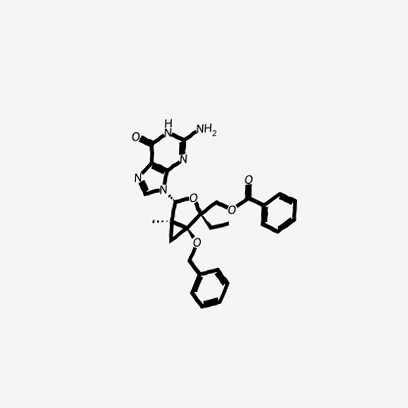 CC[C@]1(COC(=O)c2ccccc2)O[C@@H](n2cnc3c(=O)[nH]c(N)nc32)[C@]2(C)C[C@@]12OCc1ccccc1